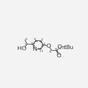 CC(O)c1ccc(OCC(=O)OC(C)(C)C)cn1